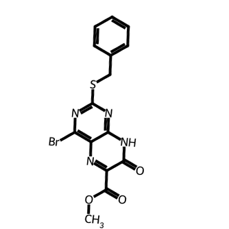 COC(=O)c1nc2c(Br)nc(SCc3ccccc3)nc2[nH]c1=O